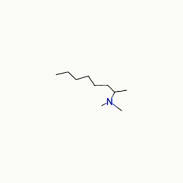 CCCCCCC(C)N(C)C